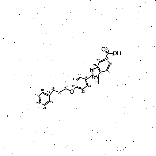 O=C(O)c1ccc2[nH]c(-c3ccc(OCCCc4ccccc4)cc3)nc2c1